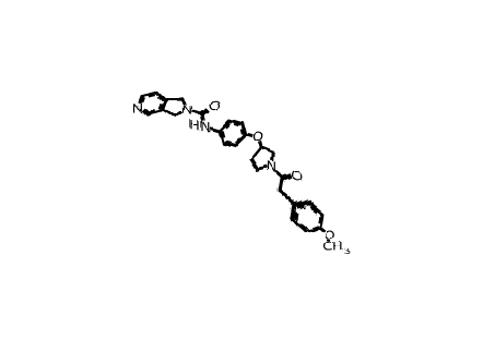 COc1ccc(CC(=O)N2CCC(Oc3ccc(NC(=O)N4Cc5ccncc5C4)cc3)C2)cc1